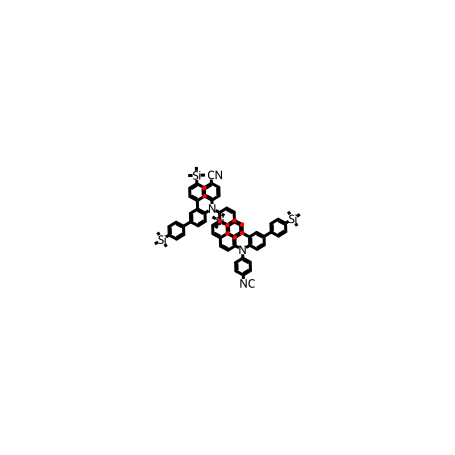 [C-]#[N+]c1ccc(N(C2=C3C=CC4=C5C(=CC=C(C=C2)C35)C(N(c2ccc(C#N)cc2)c2ccc(-c3ccc([Si](C)(C)C)cc3)cc2-c2ccc([Si](C)(C)C)cc2)C=C4)c2ccc(-c3ccc([Si](C)(C)C)cc3)cc2-c2ccc([Si](C)(C)C)cc2)cc1